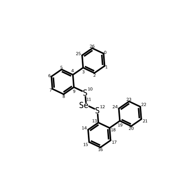 c1ccc(-c2ccccc2S[Se]Sc2ccccc2-c2ccccc2)cc1